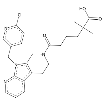 CC(C)(CCCC(=O)N1CCc2c(n(Cc3ccc(Cl)nc3)c3ncccc23)C1)C(=O)O